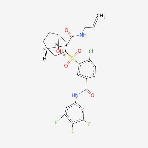 C=CCNC(=O)C[C@@]1(O)C2CC[C@H]1C[C@H](S(=O)(=O)c1cc(C(=O)Nc3cc(F)c(F)c(F)c3)ccc1Cl)C2